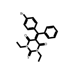 CCN1C(=O)C(=C(c2ccccc2)c2ccc(Br)cc2)C(=O)N(CC)C1=S